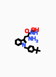 CC(C)(C)c1ccc(Cn2cc(CC(N)C(=O)NO)c3ccccc32)cc1